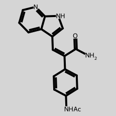 CC(=O)Nc1ccc(C(=Cc2c[nH]c3ncccc23)C(N)=O)cc1